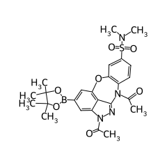 CC(=O)N1c2ccc(S(=O)(=O)N(C)C)cc2Oc2cc(B3OC(C)(C)C(C)(C)O3)cc3c2c1nn3C(C)=O